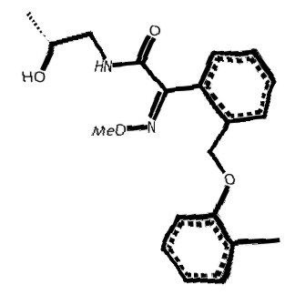 CON=C(C(=O)NC[C@@H](C)O)c1ccccc1COc1ccccc1C